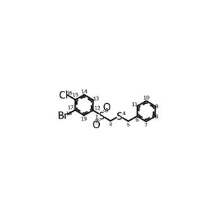 O=S(=O)(CSCc1ccccc1)c1ccc(Cl)c(Br)c1